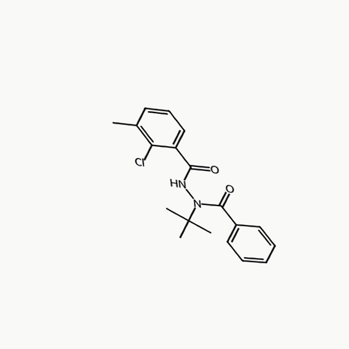 Cc1cccc(C(=O)NN(C(=O)c2ccccc2)C(C)(C)C)c1Cl